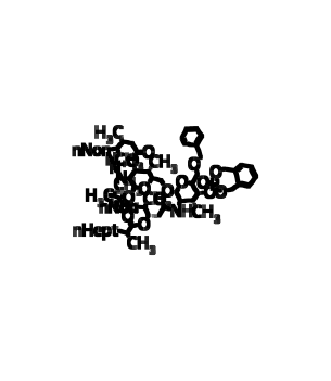 CCCCCCCCCC(C)[C@H](CC(=O)NC1[C@H](OCC2OC(O[Si](C)(C)C(C)(C)C)C(N=[N+]=[N-])[C@@H](OC(=O)C[C@H](C)C(C)CCCCCCCCC)[C@@H]2C)OC(COCc2ccccc2)[C@@H](OP2(=O)OCc3ccccc3CO2)[C@@H]1C)OC(=O)C(C)CCCCCCC